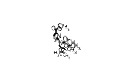 COC(=O)c1csc(N(CC2COC(C)(C)O2)C(=O)OC(C)(C)C)n1